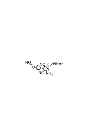 CC(=O)NCCSc1nc(N)c(C#N)c(-c2ccc(OCCO)cc2)c1C#N